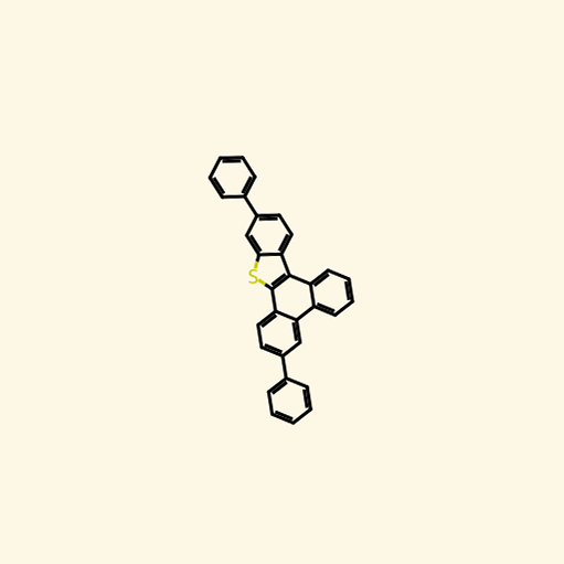 c1ccc(-c2ccc3c(c2)sc2c4ccc(-c5ccccc5)cc4c4ccccc4c32)cc1